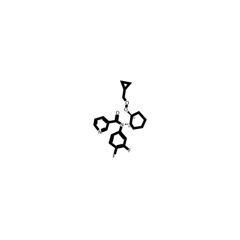 O=C(c1cccnc1)N(c1ccc(F)c(F)c1)[C@H]1CCCC[C@@H]1OOCC1CC1